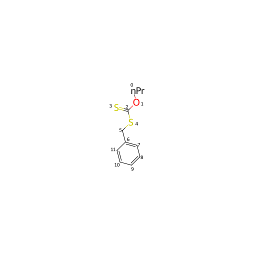 CCCOC(=S)SCc1ccccc1